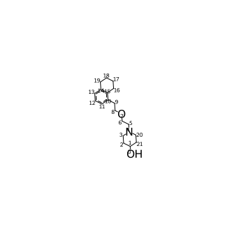 OC1CCN(CCOCCc2cccc3c2CCCC3)CC1